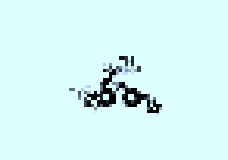 CNC(=O)c1cc2c(ccc3nnc(C)n32)n1Cc1cccc(CN2CCC2)c1